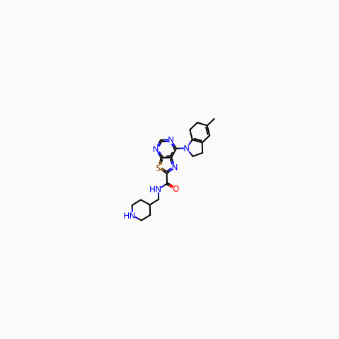 CC1=CC2=C(CC1)N(c1ncnc3sc(C(=O)NCC4CCNCC4)nc13)CC2